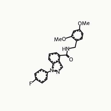 COc1ccc(CNC(=O)c2cccc3c2cnn3-c2ccc(F)cc2)c(OC)c1